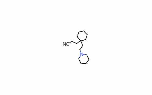 N#CCCC1(CCN2CC[CH]CC2)CCCCC1